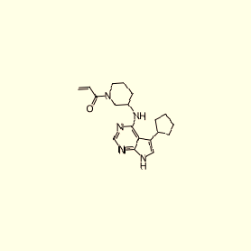 C=CC(=O)N1CCCC(Nc2ncnc3[nH]cc(C4CCCC4)c23)C1